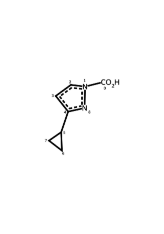 O=C(O)n1ccc(C2CC2)n1